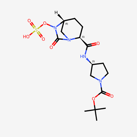 CC(C)(C)OC(=O)N1CC[C@H](NC(=O)[C@@H]2CC[C@@H]3CN2C(=O)N3OS(=O)(=O)O)C1